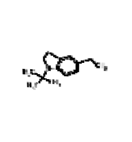 CCc1ccc2c(c1)CCN2C(C)(C)C